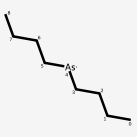 CCCC[As]CCCC